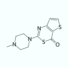 CN1CCN(c2nc3ccsc3c(=O)s2)CC1